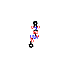 O=C(NNC(=O)C1OCC(N2C(=O)c3ccccc3C2=O)CO1)OCc1ccccc1